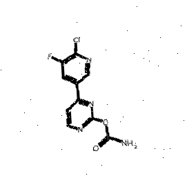 NC(=O)Oc1nccc(-c2cnc(Cl)c(F)c2)n1